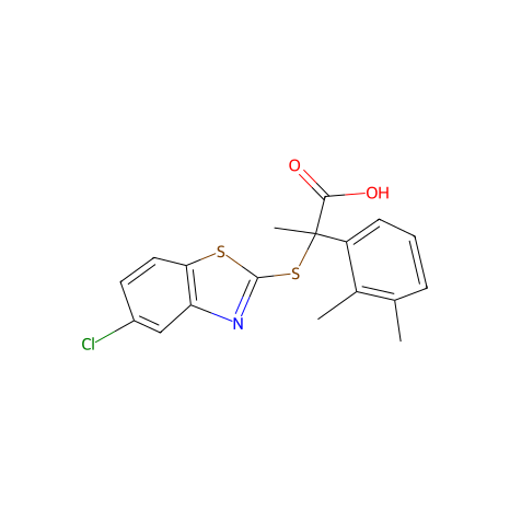 Cc1cccc(C(C)(Sc2nc3cc(Cl)ccc3s2)C(=O)O)c1C